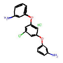 Cl.Nc1cccc(Oc2cc(Cl)cc(Oc3cccc(N)c3)c2)c1